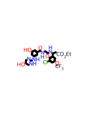 CCOC(=O)CC(NC(=O)CNC(=O)c1cc(O)cc(NC2=NCC(O)CN2)c1)c1cc(Cl)cc(OC(F)(F)F)c1